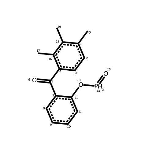 Cc1ccc(C(=O)c2ccccc2O[PH2]=O)c(C)c1C